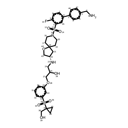 NCc1ccc(-c2ccc(F)c(S(=O)(=O)N3CCC4(CC3)C[C@H](NCC(O)COc3cccc(S(=O)(=O)C5(CO)CC5)c3)CO4)c2)cc1